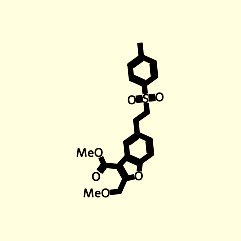 COCc1oc2ccc(CCS(=O)(=O)c3ccc(C)cc3)cc2c1C(=O)OC